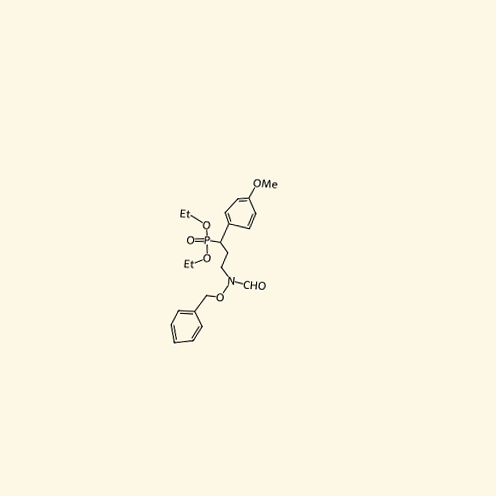 CCOP(=O)(OCC)C(CCN(C=O)OCc1ccccc1)c1ccc(OC)cc1